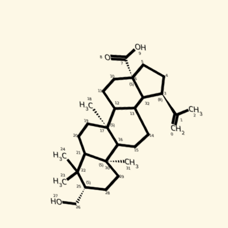 C=C(C)[C@@H]1CC[C@]2(C(=O)O)CCC3C(CCC4[C@@]3(C)CCC3C(C)(C)[C@@H](CO)CC[C@@]34C)C12